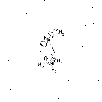 C=C/C(=C\C(=C/C)C1CCN(CCCn2c(-c3ccc(CC)cc3)nc3ccccc32)CC1)NC(C)C